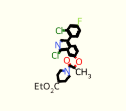 CCOC(=O)C1CCN(C(=O)[C@@H](C)Oc2ccc3c(-c4ccc(F)cc4Cl)cnc(Cl)c3c2)CC1